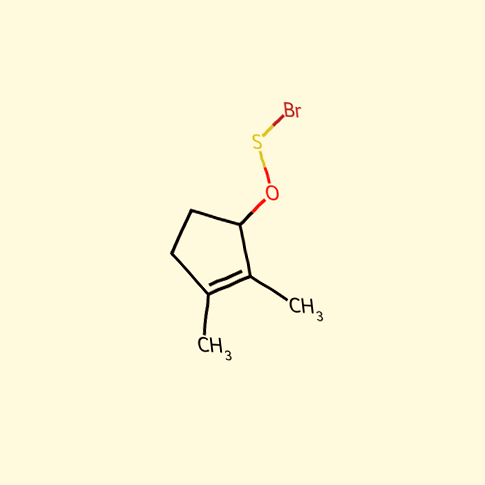 CC1=C(C)C(OSBr)CC1